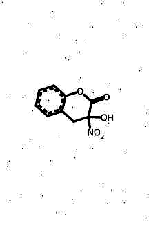 O=C1Oc2ccccc2CC1(O)[N+](=O)[O-]